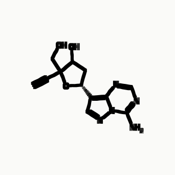 C#CC1(CO)O[C@@H](c2cnn3c(N)ncnc23)CC1O